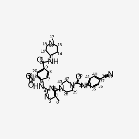 Cc1cnc(Nc2ccc(C(=O)NC3CCN(C)CC3)cc2[N+](=O)[O-])nc1N1CCN(C(=O)Nc2ccc(C#N)cc2)CC1